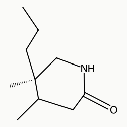 CCC[C@@]1(C)CNC(=O)CC1C